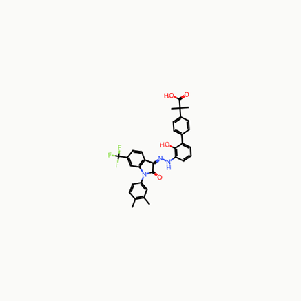 Cc1ccc(N2C(=O)C(=NNc3cccc(-c4ccc(C(C)(C)C(=O)O)cc4)c3O)c3ccc(C(F)(F)F)cc32)cc1C